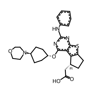 O=C(O)C[C@H]1CCc2sc3nc(Nc4ccccc4)nc(O[C@H]4CC[C@H](N5CCOCC5)CC4)c3c21